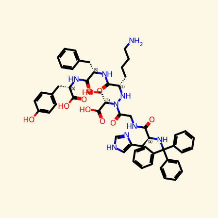 NCCCC[C@H](NN(C(=O)CNC(=O)[C@H](Cc1c[nH]cn1)NC(c1ccccc1)(c1ccccc1)c1ccccc1)[C@@H](CO)C(=O)O)C(=O)N[C@@H](Cc1ccccc1)C(=O)N[C@@H](Cc1ccc(O)cc1)C(=O)O